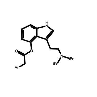 CC(=O)CC(=O)Oc1cccc2[nH]cc(CCN(C(C)C)C(C)C)c12